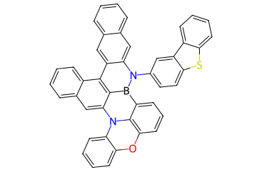 c1ccc2c(c1)Oc1cccc3c1N2c1cc2ccccc2c2c1B3N(c1ccc3sc4ccccc4c3c1)c1cc3ccccc3cc1-2